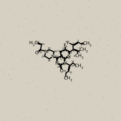 C=C/C=C(/F)C(=C(C)C)c1nc2c(cc1F)c(N1CCN(C(=O)C=C)CC1)nc(=O)n2/C(=C\CC)CC